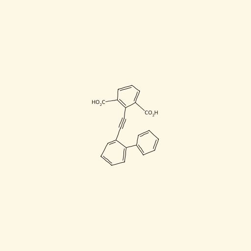 O=C(O)c1cccc(C(=O)O)c1C#Cc1ccccc1-c1ccccc1